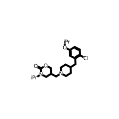 CC(C)Oc1ccc(Cl)c(CC2CCN(CC3COC(=O)N(C(C)C)C3)CC2)c1